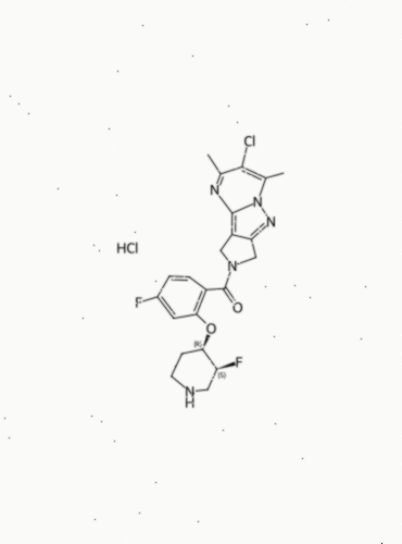 Cc1nc2c3c(nn2c(C)c1Cl)CN(C(=O)c1ccc(F)cc1O[C@@H]1CCNC[C@@H]1F)C3.Cl